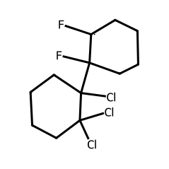 F[C]1CCCCC1(F)C1(Cl)CCCCC1(Cl)Cl